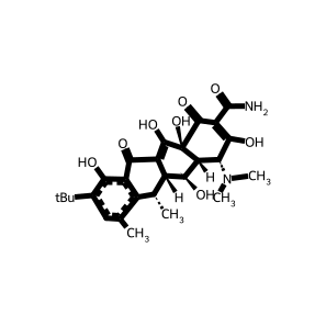 Cc1cc(C(C)(C)C)c(O)c2c1[C@@H](C)[C@@H]1C(=C(O)[C@]3(O)C(=O)C(C(N)=O)=C(O)[C@H](N(C)C)[C@@H]3[C@H]1O)C2=O